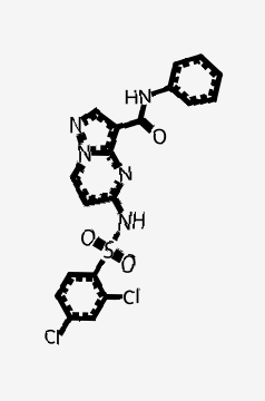 O=C(Nc1ccccc1)c1cnn2ccc(NS(=O)(=O)c3ccc(Cl)cc3Cl)nc12